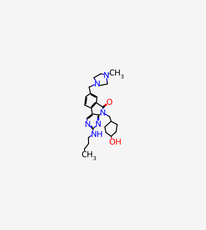 CCCCNc1ncc2c3ccc(CN4CCN(C)CC4)cc3c(=O)n(CC3CCC(O)CC3)c2n1